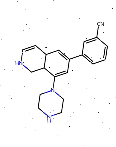 N#Cc1cccc(C2=CC3C=CNCC3C(N3CCNCC3)=C2)c1